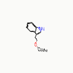 COOCCc1c[nH]c2ccccc12